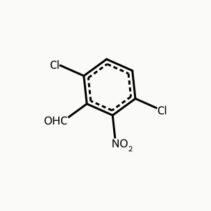 O=Cc1c(Cl)ccc(Cl)c1[N+](=O)[O-]